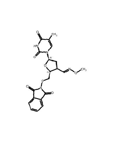 CON=CC1C[C@H](n2cc(C)c(=O)[nH]c2=O)O[C@@H]1CON1C(=O)c2ccccc2C1=O